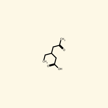 CCC(CC(C)=O)CC(=O)O